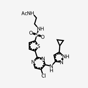 CC(=O)NCCNS(=O)(=O)c1ccc(-c2ncc(Cl)c(Nc3cc(C4CC4)[nH]n3)n2)s1